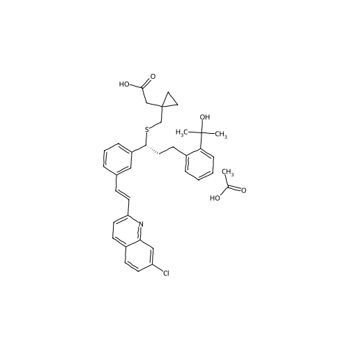 CC(=O)O.CC(C)(O)c1ccccc1CC[C@@H](SCC1(CC(=O)O)CC1)c1cccc(/C=C/c2ccc3ccc(Cl)cc3n2)c1